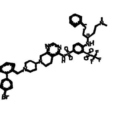 CN(C)CC[C@H](CSc1ccccc1)Nc1ccc(S(=O)(=O)Nc2ncnc3c2CCN(C2CCN(Cc4ccccc4-c4ccc(Br)cc4)CC2)C3)cc1S(=O)(=O)C(F)(F)F